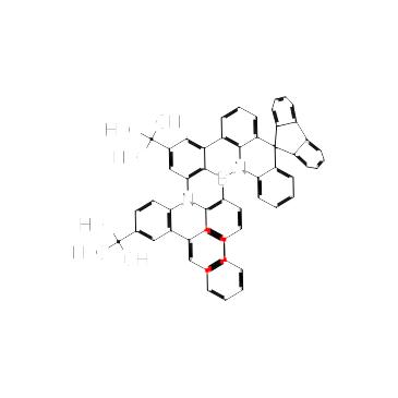 CC(C)(C)c1ccc(N2c3cc(-c4ccccc4)ccc3B3c4c(cc(C(C)(C)C)cc42)-c2cccc4c2N3c2ccccc2C42c3ccccc3-c3ccccc32)c(-c2ccccc2)c1